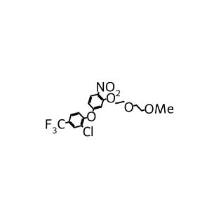 COCCOCCOc1cc(Oc2ccc(C(F)(F)F)cc2Cl)ccc1[N+](=O)[O-]